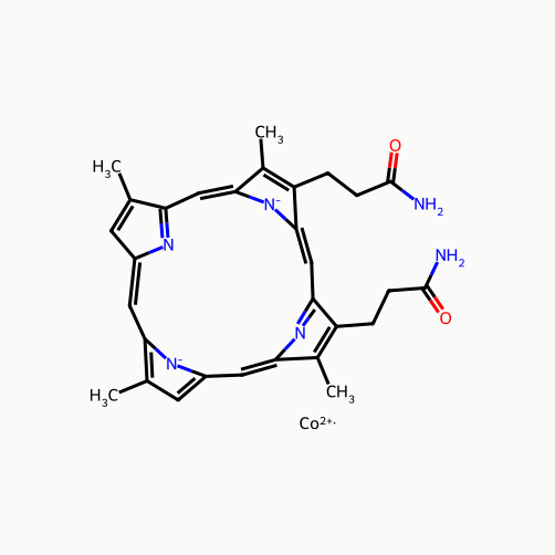 CC1=Cc2cc3[n-]c(cc4nc(cc5[n-]c(cc1n2)c(C)c5CCC(N)=O)C(CCC(N)=O)=C4C)cc3C.[Co+2]